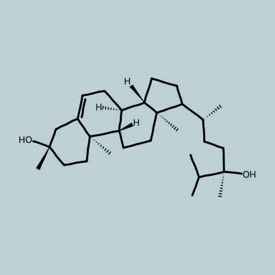 CC(C)[C@](C)(O)CC[C@@H](C)C1CC[C@H]2[C@@H]3CC=C4C[C@@](C)(O)CC[C@]4(C)[C@H]3CC[C@]12C